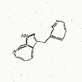 [c]1ccc(Cc2c[nH]c3ncccc23)cn1